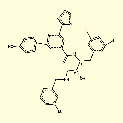 CCc1cccc(CNC[C@@H](O)[C@H](Cc2cc(F)cc(F)c2)NC(=O)c2cc(-c3ccc(O)cc3)cc(-c3nccs3)c2)c1